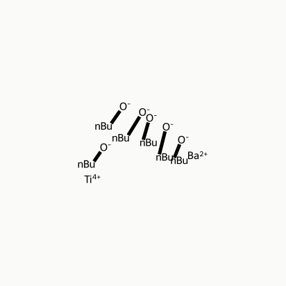 CCCC[O-].CCCC[O-].CCCC[O-].CCCC[O-].CCCC[O-].CCCC[O-].[Ba+2].[Ti+4]